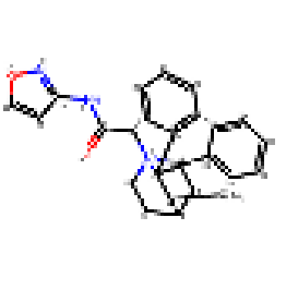 CC(=O)OC1C2CC[N+](CC(=O)Nc3ccon3)(CC2)C1(c1ccccc1)c1ccccc1